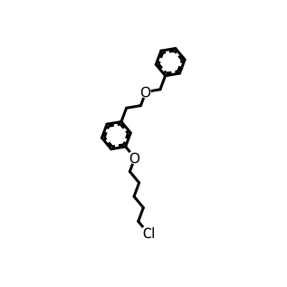 ClCCCCCOc1cccc(CCOCc2ccccc2)c1